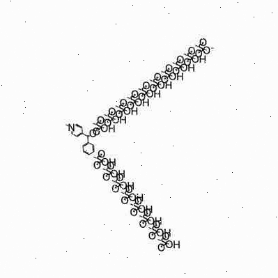 CS(=O)(=O)O.CS(=O)(=O)O.CS(=O)(=O)O.CS(=O)(=O)O.CS(=O)(=O)O.CS(=O)(=O)O.CS(=O)(=O)O.CS(=O)(=O)O.CS(=O)(=O)O.CS(=O)(=O)O.CS(=O)(=O)O.CS(=O)(=O)O.CS(=O)(=O)O.CS(=O)(=O)O.CS(=O)(=O)O.CS(=O)(=O)O.CS(=O)(=O)O.CS(=O)(=O)[O-].C[n+]1ccc(C(=O)c2ccccc2)cc1